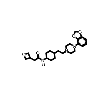 O=C(CC1COC1)NC1CCC(CCN2CCN(c3cccc4c3OCO4)CC2)CC1